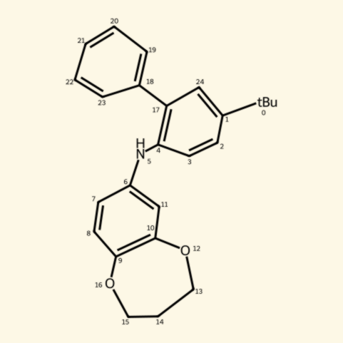 CC(C)(C)c1ccc(Nc2ccc3c(c2)OCCCO3)c(-c2ccccc2)c1